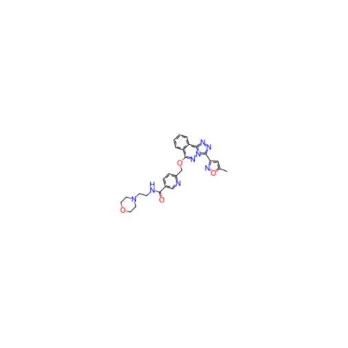 Cc1cc(-c2nnc3c4ccccc4c(OCc4ccc(C(=O)NCCN5CCOCC5)cn4)nn23)no1